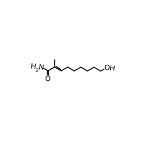 C/C(=C\CCCCCCO)C(N)=O